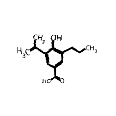 CCCc1cc(C(=O)O)cc(C(C)C)c1O